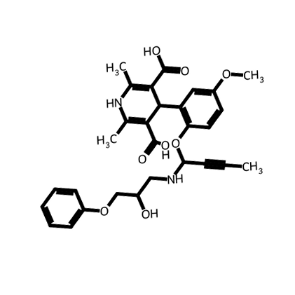 CC#CC(NCC(O)COc1ccccc1)Oc1ccc(OC)cc1C1C(C(=O)O)=C(C)NC(C)=C1C(=O)O